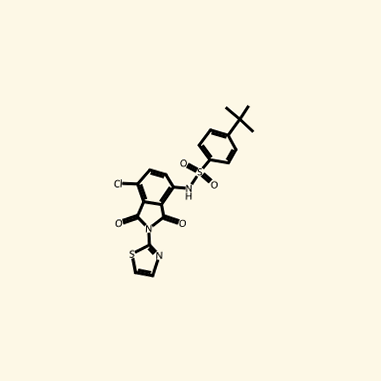 CC(C)(C)c1ccc(S(=O)(=O)Nc2ccc(Cl)c3c2C(=O)N(c2nccs2)C3=O)cc1